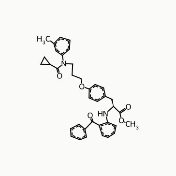 COC(=O)[C@H](Cc1ccc(OCCCN(C(=O)C2CC2)c2cccc(C)c2)cc1)Nc1ccccc1C(=O)c1ccccc1